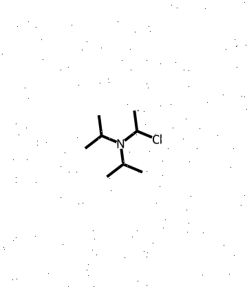 [CH2]C(Cl)N(C(C)C)C(C)C